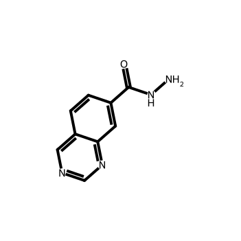 NNC(=O)c1ccc2cncnc2c1